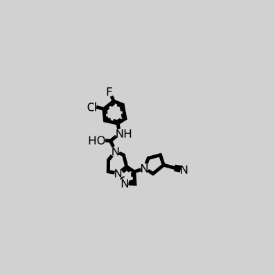 N#CC1CCN(c2cnn3c2CN(C(O)Nc2ccc(F)c(Cl)c2)CC3)C1